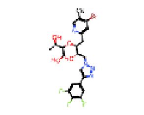 C[C@@H](O)C(CO)OC(Cc1cc(Br)c(C#N)cn1)[C@@H](O)Cn1cc(-c2cc(F)c(F)c(F)c2)nn1